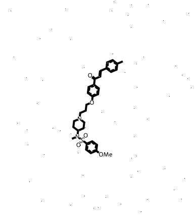 COc1ccc(S(=O)(=O)N(C)C2CCN(CCCOc3ccc(C(=O)/C=C/c4ccc(C)cc4)cc3)CC2)cc1